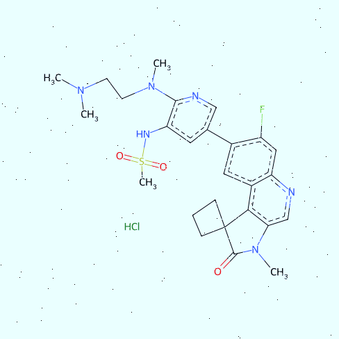 CN(C)CCN(C)c1ncc(-c2cc3c4c(cnc3cc2F)N(C)C(=O)C42CCC2)cc1NS(C)(=O)=O.Cl